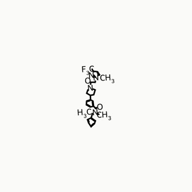 Cc1cc(C(F)(F)F)nn1CC(=O)N1CCC(c2cccc(C(=O)N(C)C(C)c3ccccc3)c2)CC1